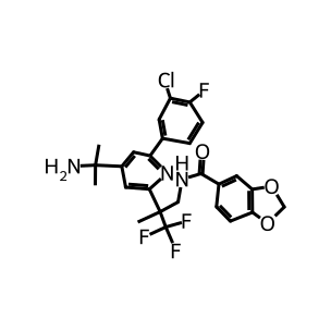 CC(C)(N)c1cc(-c2ccc(F)c(Cl)c2)nc(C(C)(CNC(=O)c2ccc3c(c2)OCO3)C(F)(F)F)c1